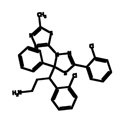 Cc1nnc(N2N=C(c3ccccc3Cl)SC2(c2ccccc2)C(CCN)c2ccccc2Cl)s1